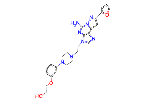 Nc1nc2c(ncn2CCN2CCN(c3cccc(OCCO)c3)CC2)c2cc(-c3ccco3)nn12